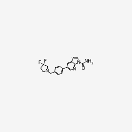 NC(=O)n1c[c]c2cc(-c3ccc(CN4CCC(F)(F)C4)cc3)cnc21